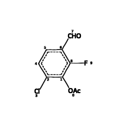 CC(=O)Oc1c(Cl)ccc(C=O)c1F